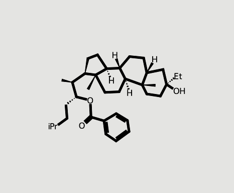 CC[C@]1(O)CC[C@@]2(C)[C@H](CC[C@@H]3[C@@H]2CC[C@]2(C)[C@@H]([C@H](C)[C@@H](CCC(C)C)OC(=O)c4ccccc4)CC[C@@H]32)C1